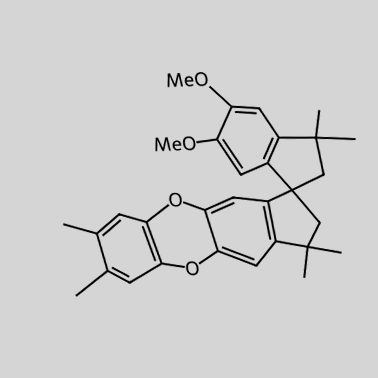 COc1cc2c(cc1OC)C1(CC2(C)C)CC(C)(C)c2cc3c(cc21)Oc1cc(C)c(C)cc1O3